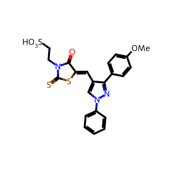 COc1ccc(-c2nn(-c3ccccc3)cc2C=C2SC(=S)N(CCS(=O)(=O)O)C2=O)cc1